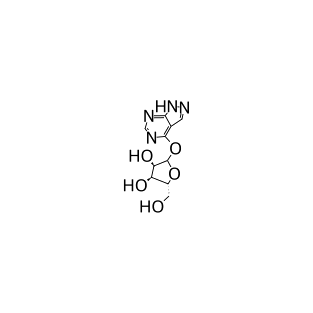 OC[C@H]1OC(Oc2ncnc3[nH]ncc23)[C@H](O)[C@@H]1O